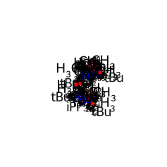 CC(C)c1cc2c3c(c1)N(c1ccc(C(C)(C)C)cc1)c1c(oc4c1C(C)(C)CCC4(C)C)B3c1cc3c(cc1N2c1ccc(C(C)(C)C)cc1)C(C)(C)CCC3(C)CCCc1cc2c3c(c1)N(c1ccc(C(C)(C)C)cc1)c1c(oc4c1C(C)(C)CCC4(C)C)B3c1cc3c(cc1N2c1ccc(C(C)(C)C)cc1)C(C)(C)CCC3(C)C